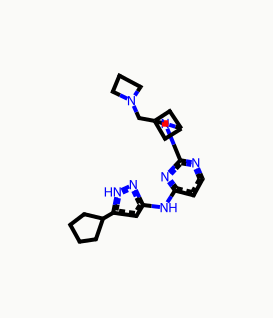 c1cc(Nc2cc(C3CCCC3)[nH]n2)nc(N2CC3(CN4CCC4)CC2C3)n1